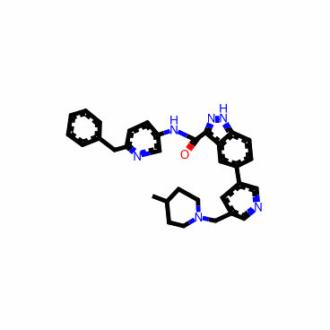 CC1CCN(Cc2cncc(-c3ccc4[nH]nc(C(=O)Nc5ccc(Cc6ccccc6)nc5)c4c3)c2)CC1